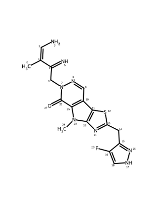 C/C(=C/N)C(=N)Cn1ncc2c3sc(Cc4n[nH]cc4F)nc3n(C)c2c1=O